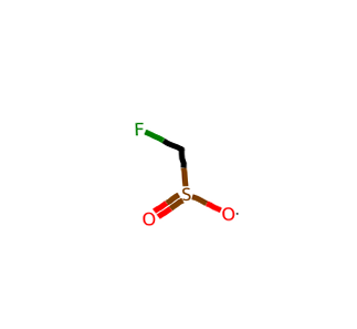 [O]S(=O)CF